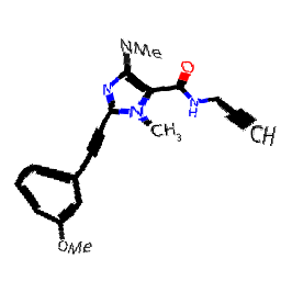 C#CCNC(=O)c1c(NC)nc(C#Cc2cccc(OC)c2)n1C